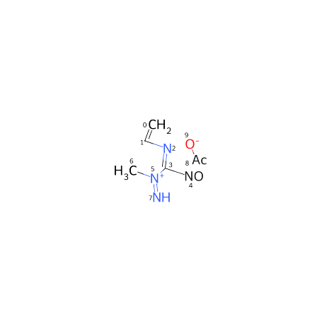 C=CN=C(N=O)[N+](C)=N.CC(=O)[O-]